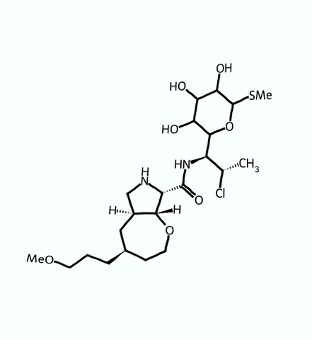 COCCC[C@@H]1CCO[C@@H]2[C@H](CN[C@@H]2C(=O)N[C@@H](C2OC(SC)C(O)C(O)C2O)[C@H](C)Cl)C1